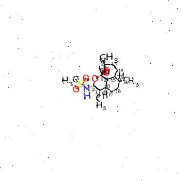 C[C@H]1[C@H](NS(C)(=O)=O)O[C@@H]2O[C@@]3(C)CC[C@H]4[C@H](C)CC[C@@H]1[C@@]24OO3